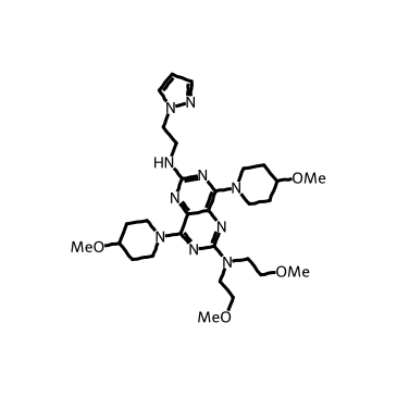 COCCN(CCOC)c1nc(N2CCC(OC)CC2)c2nc(NCCn3cccn3)nc(N3CCC(OC)CC3)c2n1